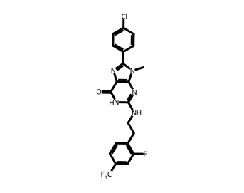 Cn1c(-c2ccc(Cl)cc2)nc2c(=O)[nH]c(NCCc3ccc(C(F)(F)F)cc3F)nc21